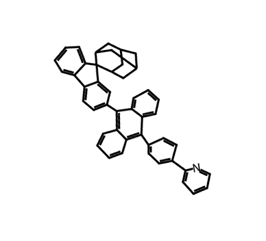 c1ccc(-c2ccc(-c3c4ccccc4c(-c4ccc5c(c4)C4(c6ccccc6-5)C5CC6CC(C5)CC4C6)c4ccccc34)cc2)nc1